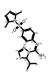 Cc1ccc(C)n1S(=O)(=O)c1ccc(N=C(N)N2N=[C]SC2C(C)C)cc1